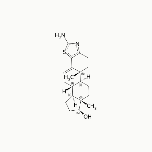 C[C@]12CC[C@H]3[C@@H](CC=C4c5sc(N)nc5CC[C@@]43C)[C@@H]1CC[C@@H]2O